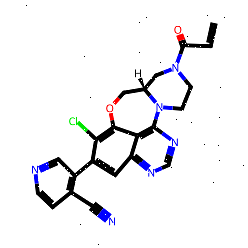 C=CC(=O)N1CCN2c3ncnc4cc(-c5cnccc5C#N)c(Cl)c(c34)OC[C@@H]2C1